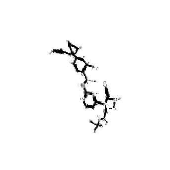 C[C@H](Nc1nccc(N2C(=O)OC[C@@H]2[C@@H](C)OC(C)(C)C)n1)c1ccc(C2(C#N)CC2)cc1F